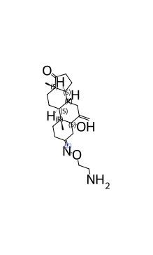 C=C1C[C@H]2[C@@H]3CCC(=O)[C@@]3(C)CC[C@@H]2[C@@]2(C)CC/C(=N/OCCN)C[C@]12O